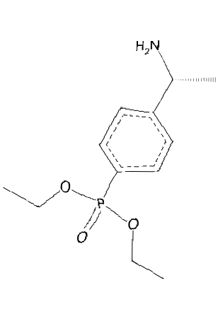 CCOP(=O)(OCC)c1ccc([C@@H](C)N)cc1